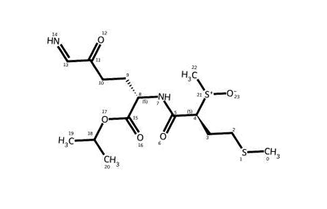 CSCC[C@@H](C(=O)N[C@@H](CCC(=O)C=N)C(=O)OC(C)C)[S+](C)[O-]